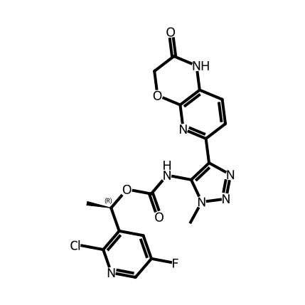 C[C@@H](OC(=O)Nc1c(-c2ccc3c(n2)OCC(=O)N3)nnn1C)c1cc(F)cnc1Cl